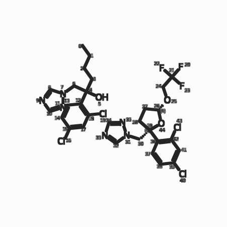 CCCCC(O)(Cn1cncn1)c1ccc(Cl)cc1Cl.FC(F)(F)CO[C@H]1CC[C@](Cn2cncn2)(c2ccc(Cl)cc2Cl)O1